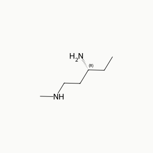 CC[C@@H](N)CCNC